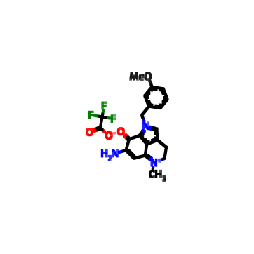 COc1cccc(Cn2cc3c4c2C(=O)C(N)=CC4=[N+](C)CC3)c1.O=C([O-])C(F)(F)F